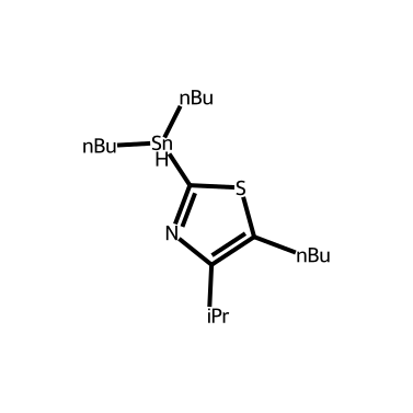 CCCCc1s[c]([SnH]([CH2]CCC)[CH2]CCC)nc1C(C)C